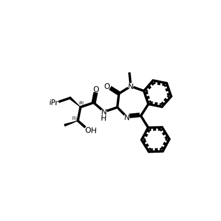 CC(C)C[C@@H](C(=O)NC1N=C(c2ccccc2)c2ccccc2N(C)C1=O)[C@H](C)O